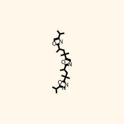 CC(C)c1coc(C(C)CC(C)(C)c2cnc(C(C)CC(C)(C)c3nnc(C(C)C)o3)o2)n1